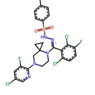 Cc1ccc(S(=O)(=O)N/N=C(/c2c(Cl)ccc(F)c2Cl)N2CCN(c3ncc(Cl)cc3F)CC23CC3)cc1